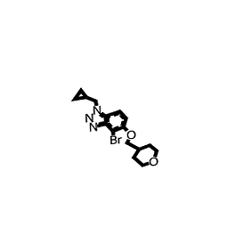 Brc1c(OCC2CCOCC2)ccc2c1nnn2CC1CC1